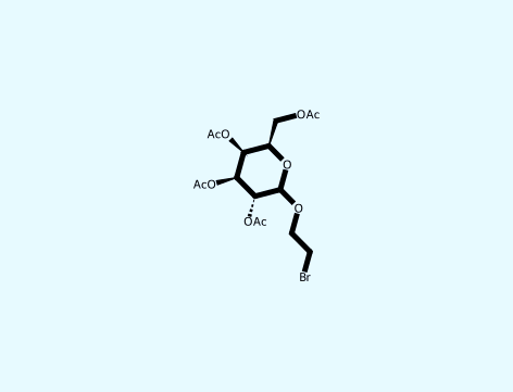 CC(=O)OC[C@H]1OC(OCCBr)[C@H](OC(C)=O)[C@@H](OC(C)=O)[C@H]1OC(C)=O